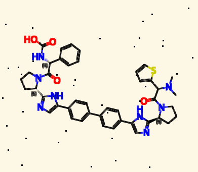 CN(C)C(C(=O)N1CCC[C@H]1c1ncc(-c2ccc(-c3ccc(-c4cnc([C@@H]5CCCN5C(=O)[C@H](NC(=O)O)c5ccccc5)[nH]4)cc3)cc2)[nH]1)c1cccs1